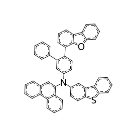 c1ccc(-c2cc(N(c3ccc4sc5ccccc5c4c3)c3cc4ccccc4c4ccccc34)ccc2-c2cccc3c2oc2ccccc23)cc1